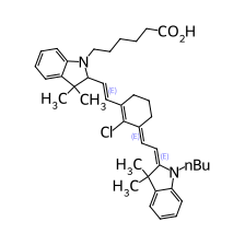 CCCCN1/C(=C/C=C2\CCCC(/C=C/C3N(CCCCCC(=O)O)c4ccccc4C3(C)C)=C2Cl)C(C)(C)c2ccccc21